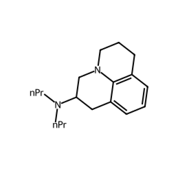 CCCN(CCC)C1Cc2cccc3c2N(CCC3)C1